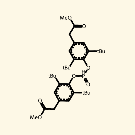 COC(=O)Cc1cc(C(C)(C)C)c(O[PH](=O)Oc2c(C(C)(C)C)cc(CC(=O)OC)cc2C(C)(C)C)c(C(C)(C)C)c1